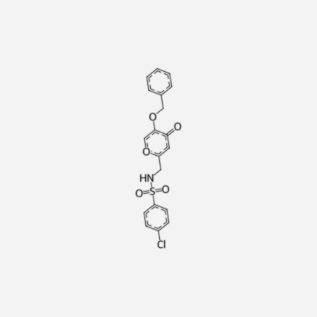 O=c1cc(CNS(=O)(=O)c2ccc(Cl)cc2)occ1OCc1ccccc1